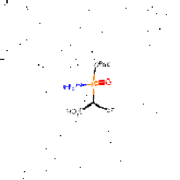 CCCCCP(N)(=O)C(CC)C(=O)O